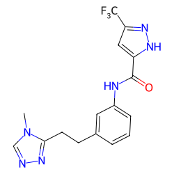 Cn1cnnc1CCc1cccc(NC(=O)c2cc(C(F)(F)F)n[nH]2)c1